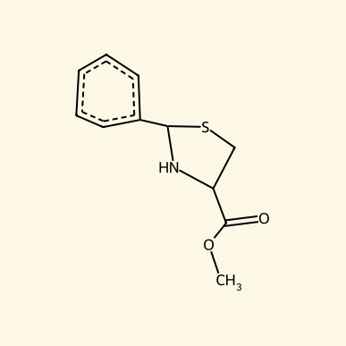 COC(=O)C1CSC(c2ccccc2)N1